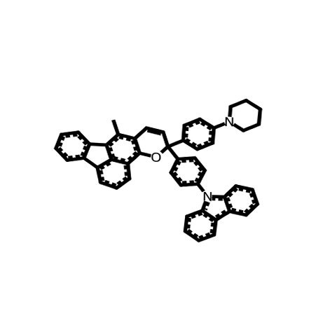 Cc1c2c(c3cccc4c3c1-c1ccccc1-4)OC(c1ccc(N3CCCCC3)cc1)(c1ccc(-n3c4ccccc4c4ccccc43)cc1)C=C2